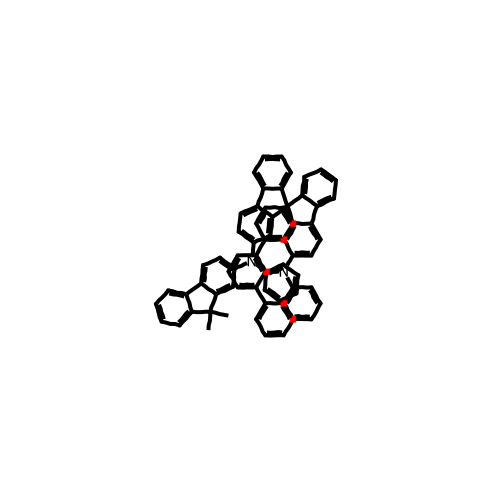 CC1(C)c2ccccc2-c2ccc(N(c3ccccc3)c3ccc4c(c3)C3(c5ccccc5-4)c4ccccc4-c4ccc(N(c5ccccc5)c5c(-c6ccccc6)cccc5-c5ccccc5)cc43)cc21